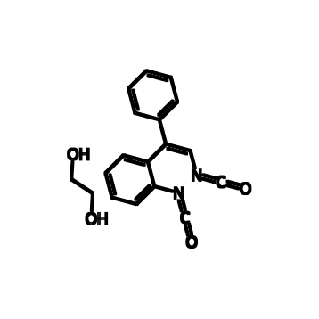 O=C=NC=C(c1ccccc1)c1ccccc1N=C=O.OCCO